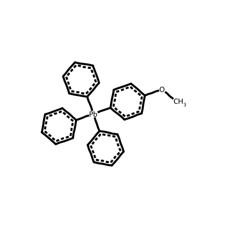 COc1cc[c]([Pb]([c]2ccccc2)([c]2ccccc2)[c]2ccccc2)cc1